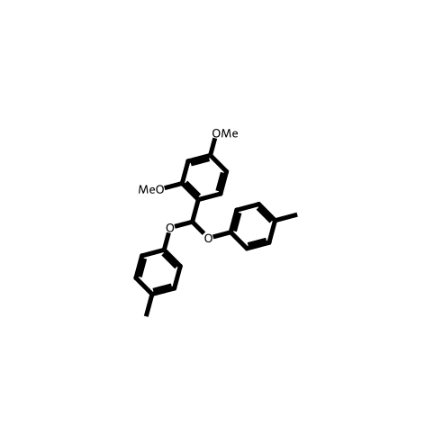 COc1ccc(C(Oc2ccc(C)cc2)Oc2ccc(C)cc2)c(OC)c1